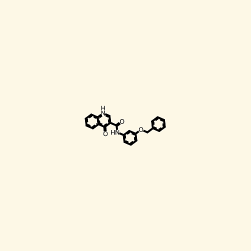 O=C(Nc1cccc(OCc2ccccc2)c1)c1c[nH]c2ccccc2c1=O